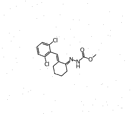 COC(=O)NN=C1CCCCC1=Cc1c(Cl)cccc1Cl